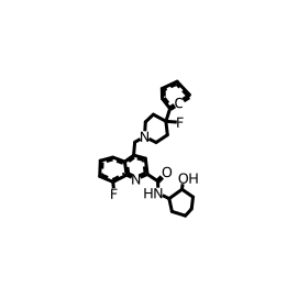 O=C(NC1CCCCC1O)c1cc(CN2CCC(F)(c3ccccc3)CC2)c2cccc(F)c2n1